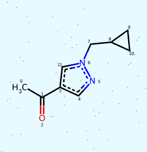 CC(=O)c1cnn(CC2CC2)c1